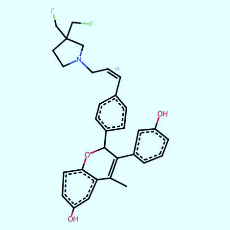 CC1=C(c2cccc(O)c2)C(c2ccc(/C=C\CN3CCC(CF)(CF)C3)cc2)Oc2ccc(O)cc21